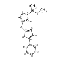 C=C(CC)c1ccc(CC2=NN=C(c3ccccc3)C2)s1